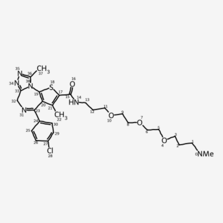 CNCCCOCCOCCOCCCNC(=O)c1sc2c(c1C)C(c1ccc(Cl)cc1)=NCc1nnc(C)n1-2